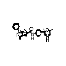 Cc1nn(C2CCCCC2)c2sc(C(=O)N[C@H]3CC[C@@H]([C@]4(C)CNC[C@H](C)O4)CC3)cc12